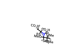 CCN(C(CC)(CC(=O)O)C(=O)O)C([SiH3])(OC)C(C)(OC)OC